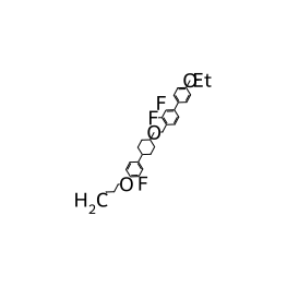 C=CCCOc1ccc(C2CCC(OCc3ccc(-c4ccc(OCC)cc4)c(F)c3F)CC2)cc1F